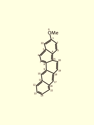 COc1ccc2c(ccc3c4cc5ccccc5cc4ccc23)c1